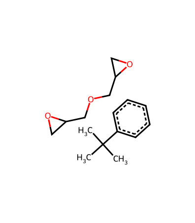 C(OCC1CO1)C1CO1.CC(C)(C)c1ccccc1